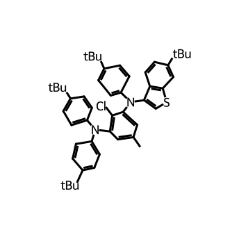 Cc1cc(N(c2ccc(C(C)(C)C)cc2)c2ccc(C(C)(C)C)cc2)c(Cl)c(N(c2ccc(C(C)(C)C)cc2)c2csc3cc(C(C)(C)C)ccc23)c1